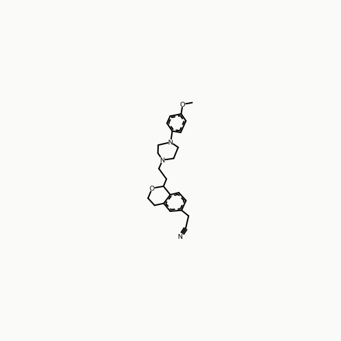 COc1ccc(N2CCN(CCC3OCCc4cc(CC#N)ccc43)CC2)cc1